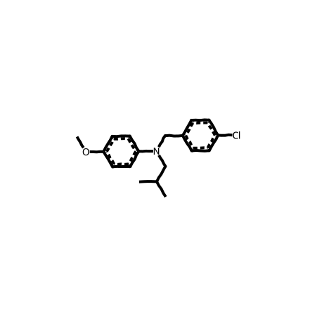 COc1ccc(N(Cc2ccc(Cl)cc2)CC(C)C)cc1